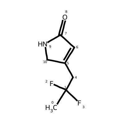 CC(F)(F)CC1=CC(=O)NC1